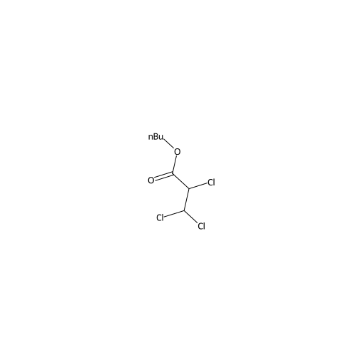 CCCCOC(=O)C(Cl)C(Cl)Cl